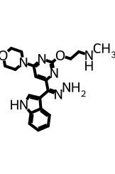 CNCCOc1nc(C(=NN)c2c[nH]c3ccccc23)cc(N2CCOCC2)n1